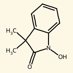 CC1(C)C(=O)N(O)c2ccccc21